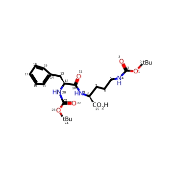 CC(C)(C)OC(=O)NCCC[C@H](NC(=O)[C@H](Cc1ccccc1)NC(=O)OC(C)(C)C)C(=O)O